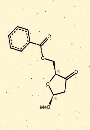 CO[C@@H]1CC(=O)[C@H](COC(=O)c2ccccc2)O1